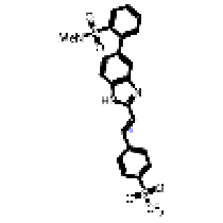 CNS(=O)(=O)c1ccccc1-c1ccc2[nH]c(/C=C/c3ccc(S(=O)(=O)C(F)(F)F)cc3)nc2c1